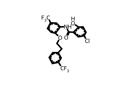 O=C(Nc1cc(C(F)(F)F)ccc1OCCc1cccc(C(F)(F)F)c1)c1cc(Cl)ccc1O